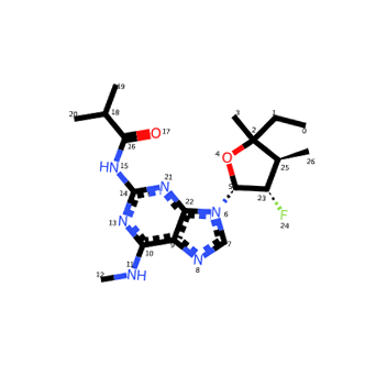 CCC1(C)O[C@@H](n2cnc3c(NC)nc(NC(=O)C(C)C)nc32)[C@@H](F)[C@@H]1C